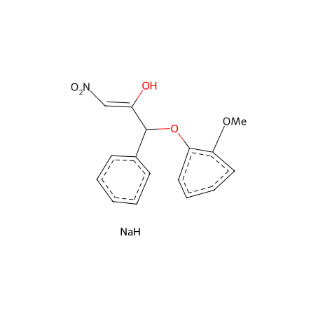 COc1ccccc1OC(C(O)=C[N+](=O)[O-])c1ccccc1.[NaH]